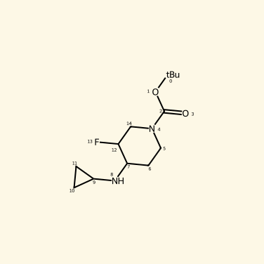 CC(C)(C)OC(=O)N1CCC(NC2CC2)C(F)C1